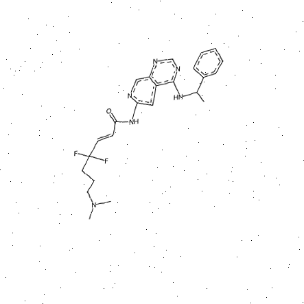 CC(Nc1ncnc2cnc(NC(=O)C=CC(F)(F)CCCN(C)C)cc12)c1ccccc1